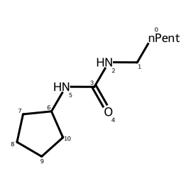 CCCCCCNC(=O)NC1CCCC1